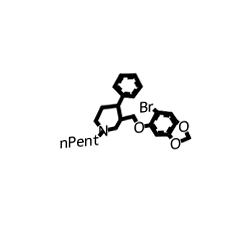 CCCCCN1CCC(c2ccccc2)C(COc2cc3c(cc2Br)OCO3)C1